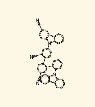 N#Cc1ccc(-c2ccc(-n3c4ccccc4c4cc(C#N)ccc43)cc2C#N)c(-c2ccccc2-n2c3ccccc3c3ccccc32)c1